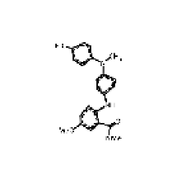 CNC(=O)c1cc(OC)ccc1Nc1ccc(N(C)c2ccc(C(F)(F)F)cc2)cc1